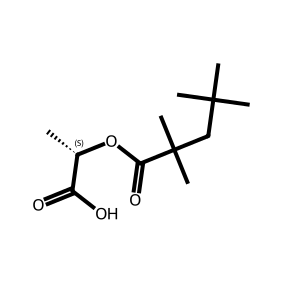 C[C@H](OC(=O)C(C)(C)CC(C)(C)C)C(=O)O